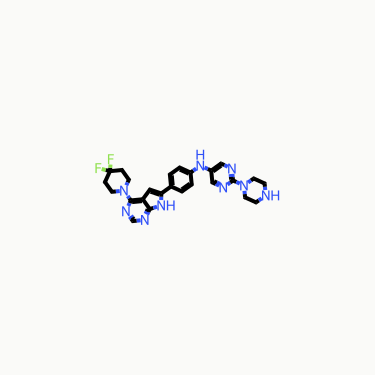 FC1(F)CCN(c2ncnc3[nH]c(-c4ccc(Nc5cnc(N6CCNCC6)nc5)cc4)cc23)CC1